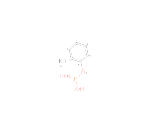 OP(O)Oc1ccccc1.[KH]